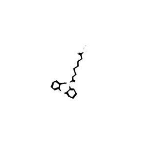 O=C(CCCCCCC(=O)N1Cc2ccccc2Oc2ccccc21)NO